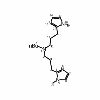 CCCCN(CCCc1nccn1C)CCCc1nccn1C